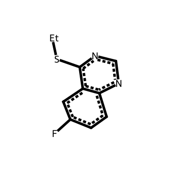 CCSc1ncnc2ccc(F)cc12